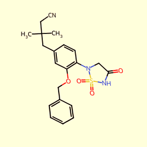 CC(C)(CC#N)Cc1ccc(N2CC(=O)NS2(=O)=O)c(OCc2ccccc2)c1